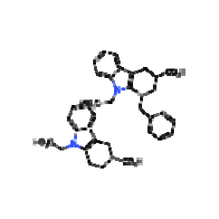 CCOC(=O)Cn1c2c(c3ccccc31)CC(C(=O)O)CC2Cc1ccccc1.O=C(O)Cn1c2c(c3ccccc31)CC(C(=O)O)CC2